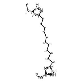 CSc1nc(CCCCCCCCCCCc2n[nH]c(SC)n2)n[nH]1